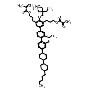 C=C(C)C(=O)OCCCc1cc(-c2ccc(-c3ccc(C4CCC(C5CCC(CCCCC)CC5)CC4)cc3F)c(CC)c2)cc(CCCOC(=O)C(=C)C)c1OCC(CC)(CO)CO